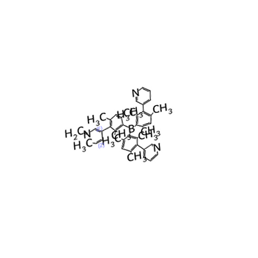 C=N/C=C(\C=C/C)c1c(C)cc(C)c(B(c2c(C)cc(C)c(-c3cccnc3)c2C)c2c(C)cc(C)c(-c3cccnc3)c2C)c1C